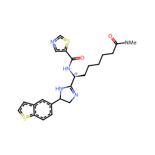 CNC(=O)CCCCC[C@H](NC(=O)c1cncs1)C1=NCC(c2ccc3sccc3c2)N1